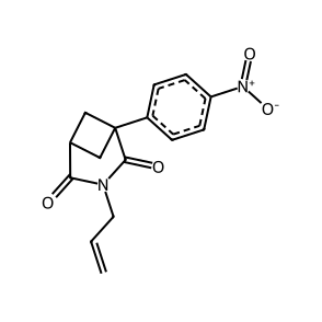 C=CCN1C(=O)C2CC(c3ccc([N+](=O)[O-])cc3)(C2)C1=O